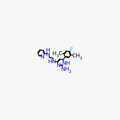 Cc1cc(C2C=C(NCCNc3ccccn3)N=C(N)N2)c(C)cc1F